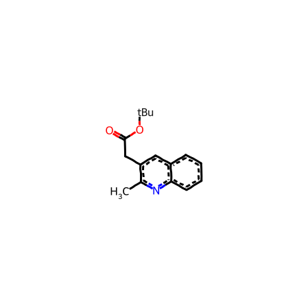 Cc1nc2ccccc2cc1CC(=O)OC(C)(C)C